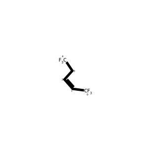 FC(F)(F)/C=C\CC(F)(F)F